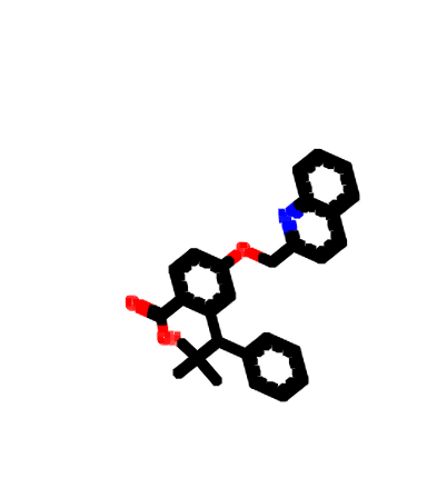 CC(C)(C)C(c1ccccc1)c1cc(OCc2ccc3ccccc3n2)ccc1C(=O)O